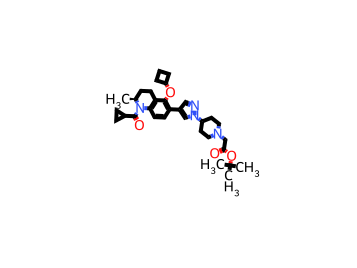 C[C@H]1CCc2c(ccc(-c3cnn(C4CCN(CC(=O)OC(C)(C)C)CC4)c3)c2OC2CCC2)N1C(=O)C1CC1